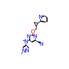 CN(c1cnn(C)c1)c1cc(C#N)nc(OCC2CC2c2ccccn2)n1